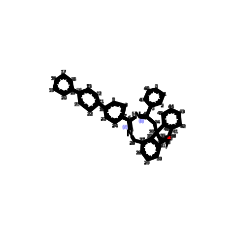 c1ccc(/C2=N/C(c3ccc(-c4ccc(-c5ccccc5)cc4)cc3)=N\Cc3ccccc3C3(C2)c2ccccc2-c2ccccc23)cc1